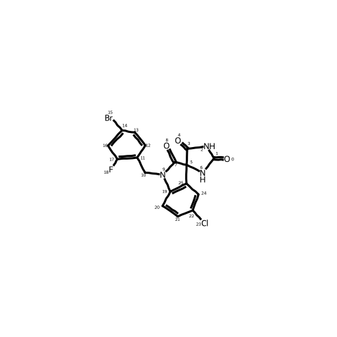 O=C1NC(=O)C2(N1)C(=O)N(Cc1ccc(Br)cc1F)c1ccc(Cl)cc12